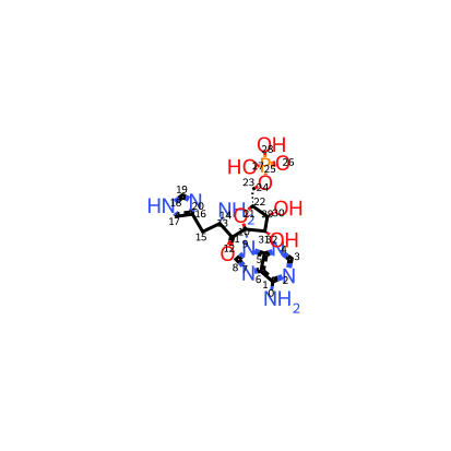 Nc1ncnc2c1ncn2[C@]1(C(=O)[C@@H](N)Cc2c[nH]cn2)O[C@H](COP(=O)(O)O)[C@@H](O)[C@H]1O